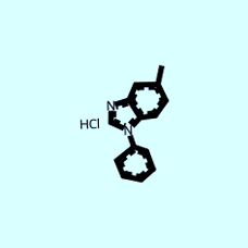 Cc1ccc2c(c1)ncn2-c1ccccc1.Cl